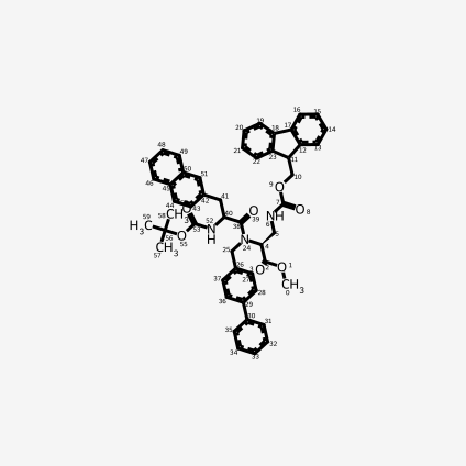 COC(=O)[C@H](CNC(=O)OCC1c2ccccc2-c2ccccc21)N(Cc1ccc(-c2ccccc2)cc1)C(=O)C(Cc1ccc2ccccc2c1)NC(=O)OC(C)(C)C